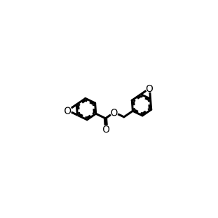 O=C(OCc1ccc2c(c1)O2)c1ccc2c(c1)O2